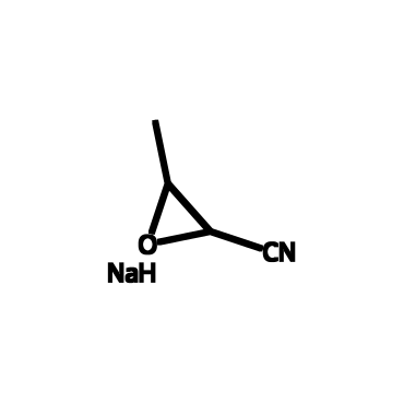 CC1OC1C#N.[NaH]